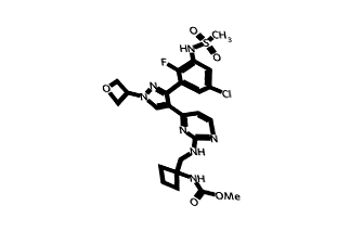 COC(=O)NC1(CNc2nccc(-c3cn(C4COC4)nc3-c3cc(Cl)cc(NS(C)(=O)=O)c3F)n2)CCC1